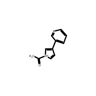 CC(=O)[SH]1C=CC(c2cccnc2)=C1